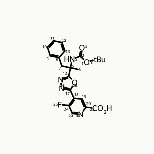 CC(C)(C)OC(=O)NC(C)(Cc1ccccc1)c1nnc(-c2cc(C(=O)O)ncc2F)o1